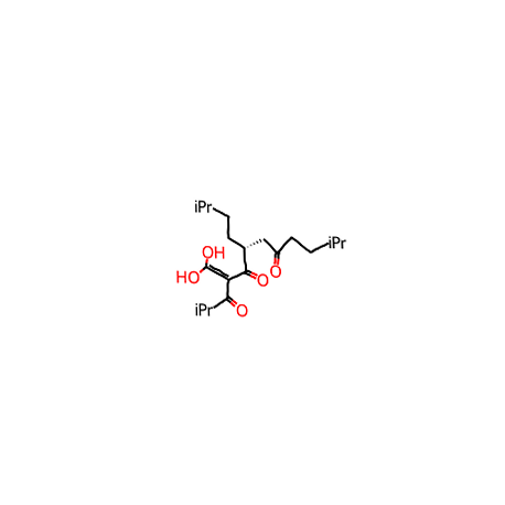 CC(C)CCC(=O)C[C@@H](CCC(C)C)C(=O)C(C(=O)C(C)C)=C(O)O